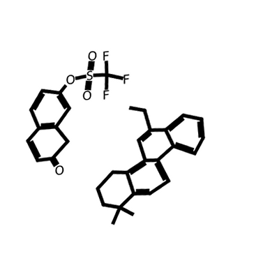 CCc1cc2c3c(ccc2c2ccccc12)C(C)(C)CCC3.O=C1C=Cc2ccc(OS(=O)(=O)C(F)(F)F)cc2C1